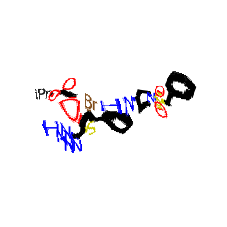 CC(C)OC(=O)COc1c(-c2nnn[nH]2)sc(-c2cccc(NC3CCN(S(=O)(=O)Cc4ccccc4)CC3)c2)c1Br